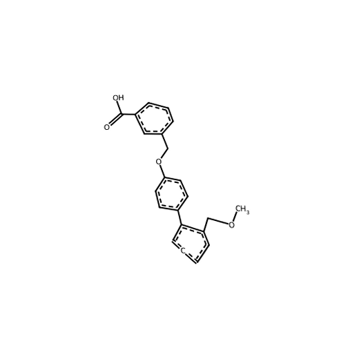 COCc1ccccc1-c1ccc(OCc2cccc(C(=O)O)c2)cc1